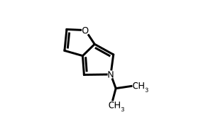 CC(C)n1cc2ccoc2c1